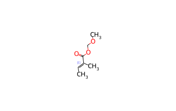 C/C=C(\C)C(=O)OCOC